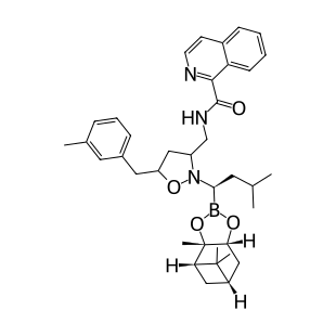 Cc1cccc(CC2CC(CNC(=O)c3nccc4ccccc34)N([C@@H](CC(C)C)B3O[C@@H]4C[C@@H]5C[C@@H](C5(C)C)[C@]4(C)O3)O2)c1